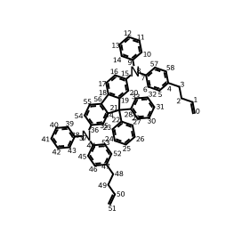 C=CCCc1ccc(N(c2ccccc2)c2ccc3c(c2)C(c2ccccc2)(c2ccccc2)c2cc(N(c4ccccc4)c4ccc(CCC=C)cc4)ccc2-3)cc1